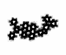 c1ccc(-c2cc(-c3ccccc3)nc(-c3c4ccccc4c(-c4c5ccccc5c(-c5ccc6oc7cc8c9ccccc9c9ccccc9c8cc7c6c5)c5ccccc45)c4ccccc34)n2)cc1